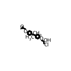 CC(C)(c1ccc(OCC(O)CCl)cc1)c1ccc(OCC2CO2)cc1